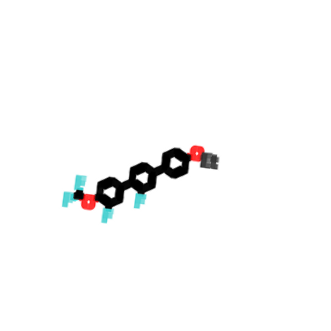 CCOc1ccc(-c2ccc(-c3ccc(OC(F)F)c(F)c3)c(F)c2)cc1